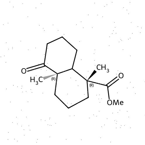 COC(=O)[C@]1(C)CCC[C@@]2(C)C(=O)CCCC21